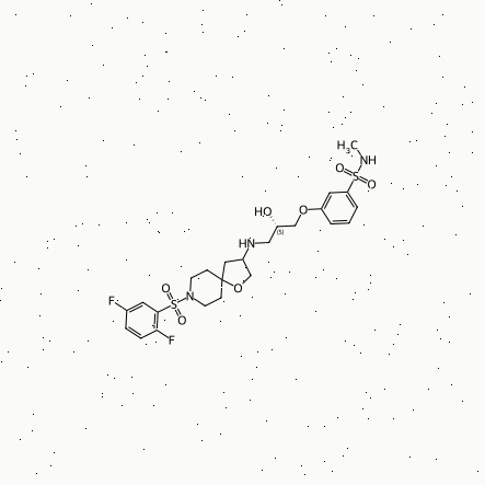 CNS(=O)(=O)c1cccc(OC[C@@H](O)CNC2COC3(CCN(S(=O)(=O)c4cc(F)ccc4F)CC3)C2)c1